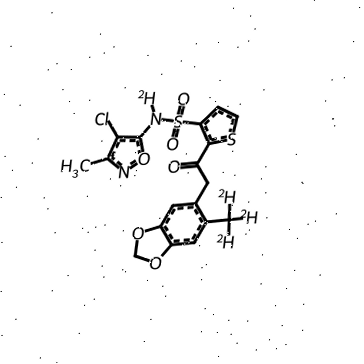 [2H]N(c1onc(C)c1Cl)S(=O)(=O)c1ccsc1C(=O)Cc1cc2c(cc1C([2H])([2H])[2H])OCO2